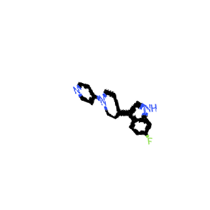 Fc1ccc2c(C3CCN(c4ccncc4)CC3)c[nH]c2c1